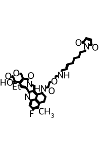 CC[C@@]1(O)C(=O)OCc2c1cc1n(c2=O)Cc2c-1nc1cc(F)c(C)c3c1c2C(NC(=O)COCNCC=CCCCCCN1C(=O)C=CC1=O)CC3